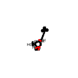 CC[C@H]1OC(=O)[C@H](C)[C@@H](C2C[C@@](C)(OC)[C@@H](O)[C@H](C)O2)[C@H](C)[C@@H](O[C@@H]2O[C@H](C)C[C@H](N(C)C)[C@H]2OC(C)=O)[C@](C)(O)C[C@@H](C)CN(C)[C@H](C)[C@@H](OC(=O)NCCCCCCCCCC[PH](c2ccccc2)(c2ccccc2)c2ccccc2)[C@]1(C)O